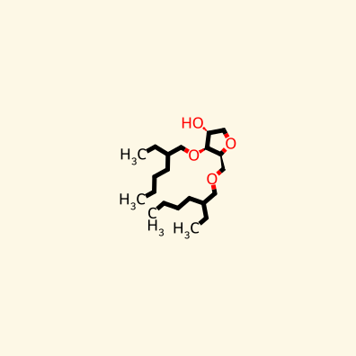 CCCCC(CC)COC[C@@H]1OC[C@@H](O)[C@@H]1OCC(CC)CCCC